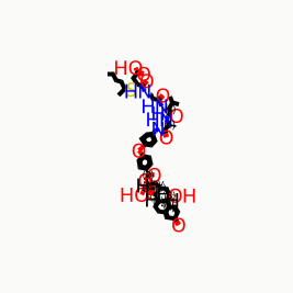 CCCCC(C)SC(CC(=O)O)C(=O)NCCC(=O)N[C@H](C(=O)N[C@@H](C)C(=O)Nc1ccc(Oc2ccc([C@@H]3O[C@@H]4C[C@H]5[C@@H]6CCC7=CC(=O)C=C[C@]7(C)[C@H]6[C@@H](O)C[C@]5(C)[C@]4(C(=O)CO)O3)cc2)cc1)C(C)C